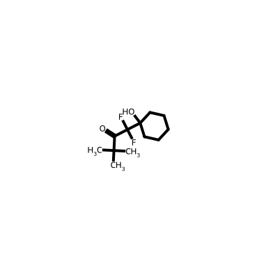 CC(C)(C)C(=O)C(F)(F)C1(O)CCCCC1